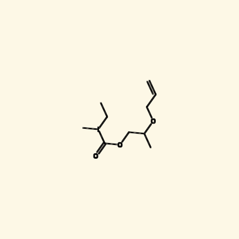 C=CCOC(C)COC(=O)I(C)CC